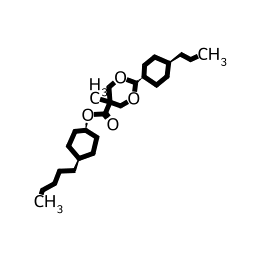 CCCCC[C@H]1CC[C@H](OC(=O)C2(C)COC([C@H]3CC[C@H](CCC)CC3)OC2)CC1